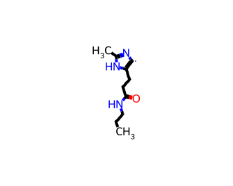 CCCNC(=O)CCc1[c]nc(C)[nH]1